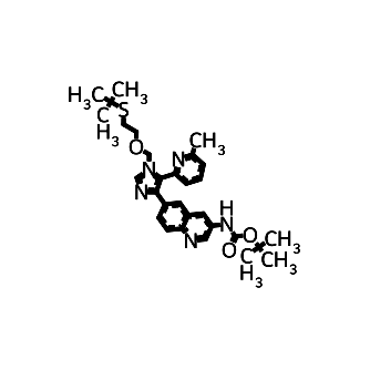 Cc1cccc(-c2c(-c3ccc4ncc(NC(=O)OC(C)(C)C)cc4c3)ncn2COCCSC(C)(C)C)n1